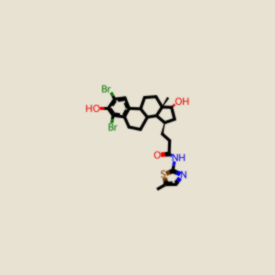 Cc1cnc(NC(=O)CC[C@@H]2C[C@H](O)[C@@]3(C)CCC4c5cc(Br)c(O)c(Br)c5CCC4C23)s1